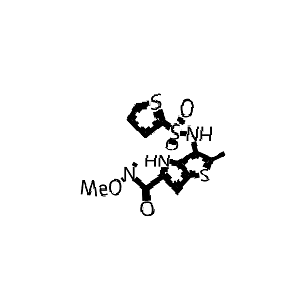 CON(C)C(=O)c1cc2sc(C)c(NS(=O)(=O)c3cccs3)c2[nH]1